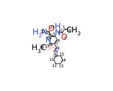 C=CC(=O)Nc1cc(/C=C/C2CCCCC2)c(BC)nc1C(N)=O